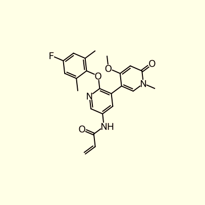 C=CC(=O)Nc1cnc(Oc2c(C)cc(F)cc2C)c(-c2cn(C)c(=O)cc2OC)c1